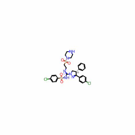 O=S(=O)(N/C(=N/CCS(=O)(=O)N1CCNCC1)N1C[C@H](c2ccccc2)C(c2ccc(Cl)cc2)=N1)c1ccc(Cl)cc1